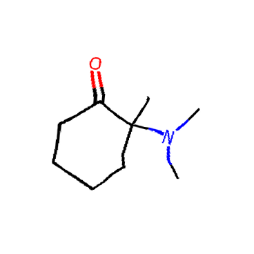 CN(C)C1(C)CCCCC1=O